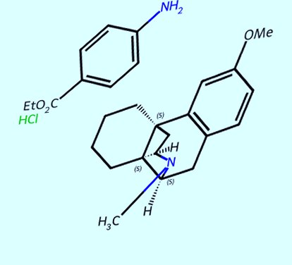 CCOC(=O)c1ccc(N)cc1.COc1ccc2c(c1)[C@]13CCCC[C@@H]1[C@H](C2)N(C)CC3.Cl